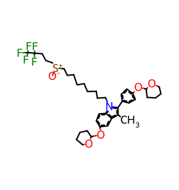 Cc1c(-c2ccc(OC3CCCCO3)cc2)n(CCCCCCCCC[S+]([O-])CCCC(F)(F)C(F)(F)F)c2ccc(OC3CCCCO3)cc12